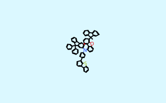 CC1(c2cccc3c2oc2cccc(N(c4ccc(-c5cccc6c5sc5ccccc56)cc4)c4ccc5c(c4)C(c4ccccc4)(c4ccccc4)c4ccccc4-5)c23)c2ccccc2-c2ccccc21